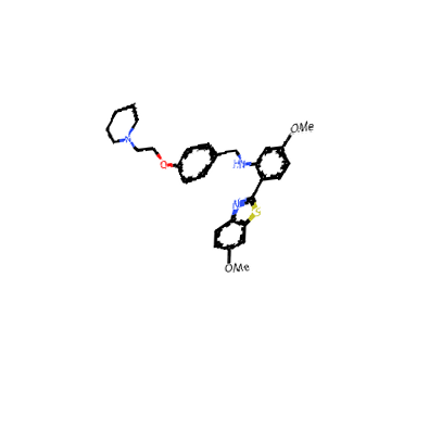 COc1ccc(-c2nc3ccc(OC)cc3s2)c(NCc2ccc(OCCN3CCCCC3)cc2)c1